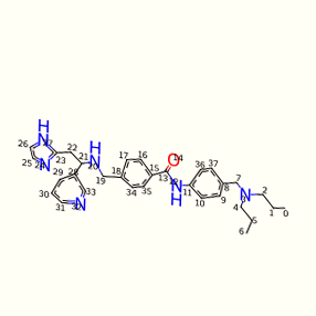 CCCN(CCC)Cc1ccc(NC(=O)c2ccc(CNC(Cc3ncc[nH]3)c3cccnc3)cc2)cc1